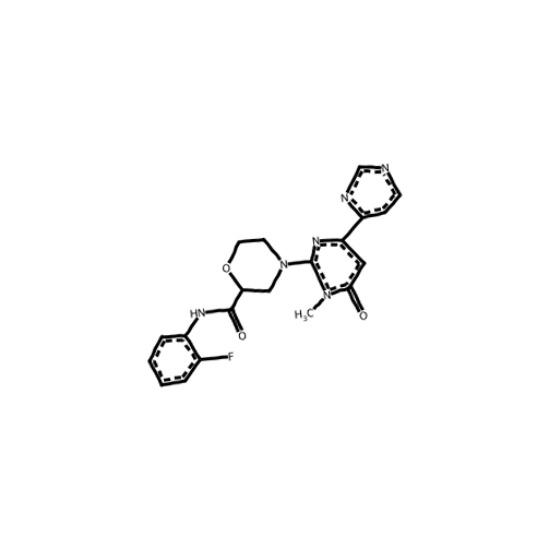 Cn1c(N2CCOC(C(=O)Nc3ccccc3F)C2)nc(-c2ccncn2)cc1=O